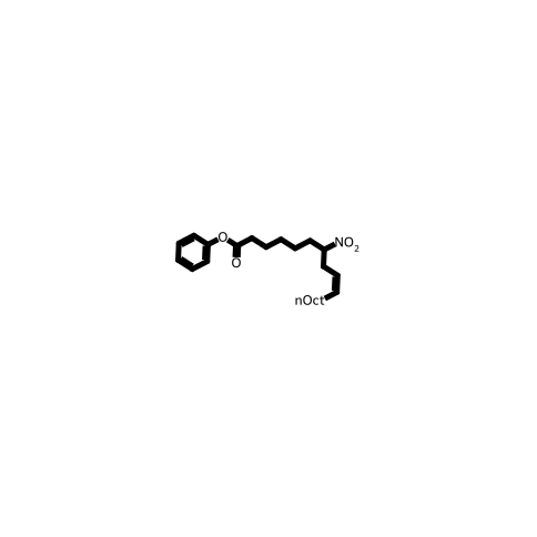 CCCCCCCC/C=C\CC(CCCCCC(=O)Oc1ccccc1)[N+](=O)[O-]